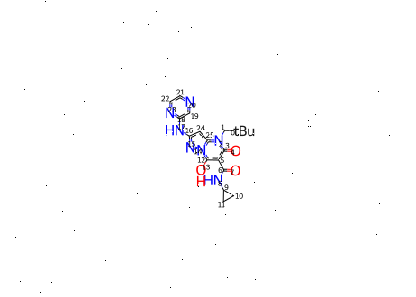 CC(C)(C)Cn1c(=O)c(C(=O)NC2CC2)c(O)n2nc(Nc3cnccn3)cc12